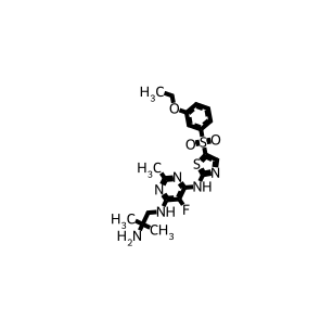 CCOc1cccc(S(=O)(=O)c2cnc(Nc3nc(C)nc(NCC(C)(C)N)c3F)s2)c1